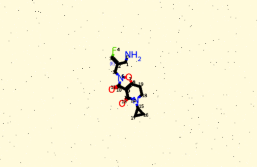 NC/C(=C\F)Cn1oc2c(c1=O)C(=O)N(C1CC1)CC2